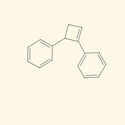 C1=C(c2ccccc2)C(c2ccccc2)C1